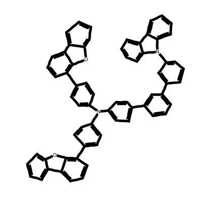 c1cc(-c2ccc(N(c3ccc(-c4cccc5c4oc4ccccc45)cc3)c3ccc(-c4cccc5c4oc4ccccc45)cc3)cc2)cc(-c2cccc(-n3c4ccccc4c4ccccc43)c2)c1